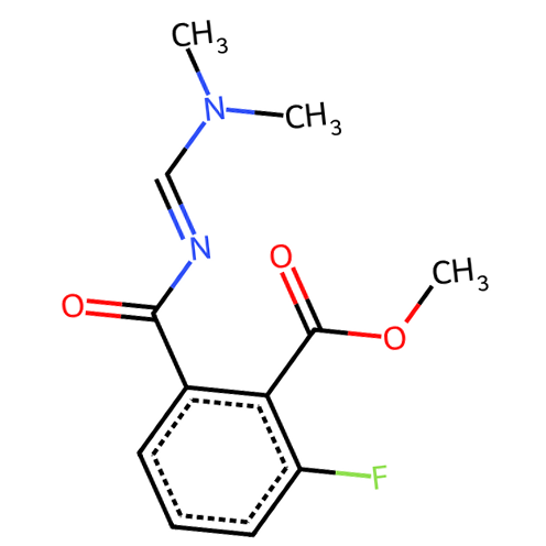 COC(=O)c1c(F)cccc1C(=O)N=CN(C)C